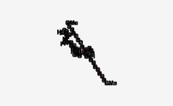 COCCOCCOCCOCCOCCOCCOCCOCCNC(=O)c1cc(N2C(=O)C=CC2=O)cc(C(=O)NCCOCCOCCOCCOCCOCCOCCOCCOC)c1OCCCC(=O)N[C@@H](C)C(=O)N[C@@H](C)C(=O)N[C@@H](C)C(=O)NCOCC(=O)NCc1c2c(nc3cc(F)c(C)cc13)-c1cc3c(c(=O)n1C2)COC(=O)[C@]3(O)CC1CC1